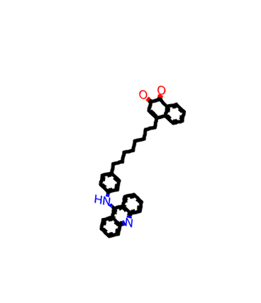 O=C1C=C(CCCCCCCCc2ccc(Nc3c4ccccc4nc4ccccc34)cc2)c2ccccc2C1=O